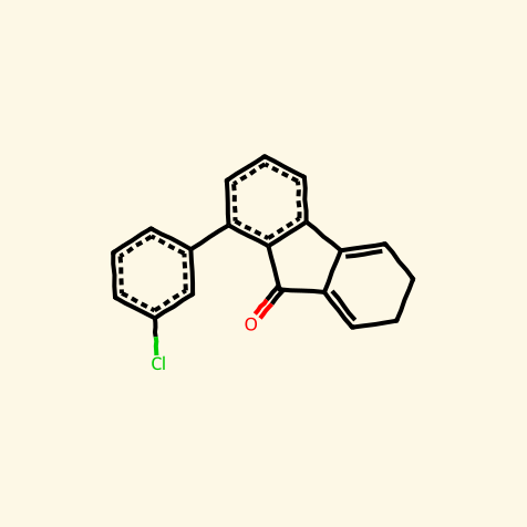 O=C1C2=CCCC=C2c2cccc(-c3cccc(Cl)c3)c21